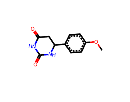 COc1ccc(C2CC(=O)NC(=O)N2)cc1